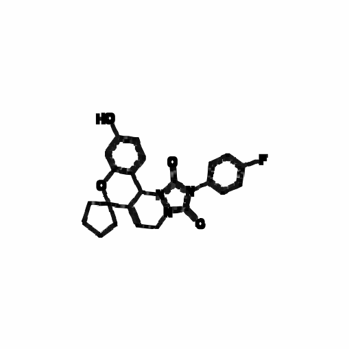 O=c1n(-c2ccc(F)cc2)c(=O)n2n1CC=C1C2c2ccc(O)cc2OC12CCCC2